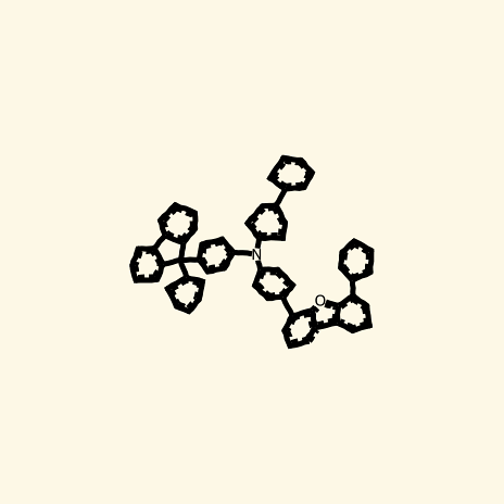 c1ccc(-c2ccc(N(c3ccc(-c4cccc5c4oc4c(-c6ccccc6)cccc45)cc3)c3ccc(C4(c5ccccc5)c5ccccc5-c5ccccc54)cc3)cc2)cc1